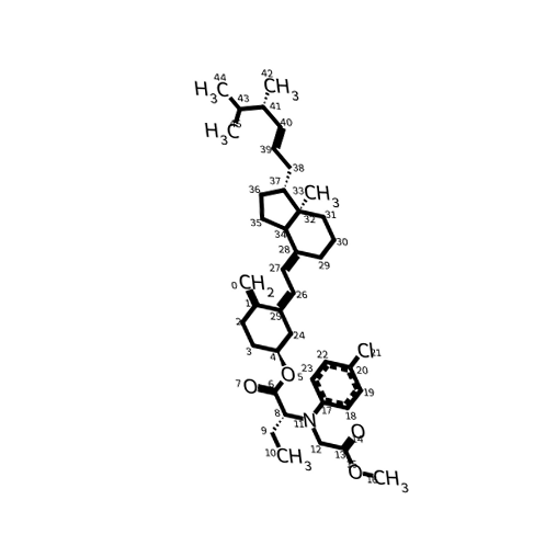 C=C1CC[C@H](OC(=O)[C@@H](CC)N(CC(=O)OC)c2ccc(Cl)cc2)C/C1=C/C=C1\CCC[C@@]2(C)C1CC[C@@H]2C/C=C/[C@@H](C)C(C)C